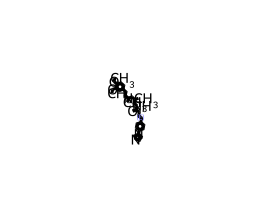 COc1ccc(CCN(C)CC(C)CNC(=O)C/C=C/c2ccc(-n3ccnc3)cc2)cc1OC